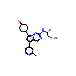 COC[C@H](C)Nc1ncc2c(-c3ccnc(C)c3)cc(C3CCC(=O)CC3)n2n1